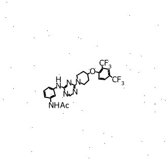 CC(=O)Nc1cccc(Nc2ncnc(N3CCC(Oc4ccc(C(F)(F)F)cc4C(F)(F)F)CC3)n2)c1